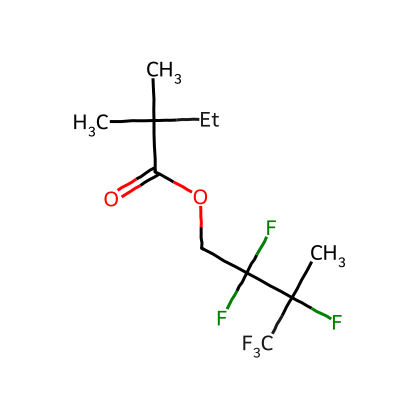 CCC(C)(C)C(=O)OCC(F)(F)C(C)(F)C(F)(F)F